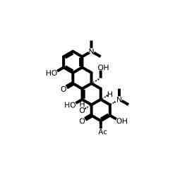 CC(=O)C1=C(O)[C@@H](N(C)C)[C@@H]2C[C@]3(CO)Cc4c(N(C)C)ccc(O)c4C(=O)C3=C(O)[C@]2(O)C1=O